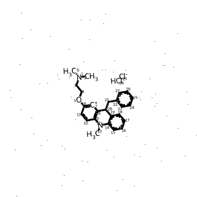 CN(C)CCOC1=[C+]C2=C(C=C1)N(C)c1ccccc1C2Cc1ccccc1.Cl.[Cl-]